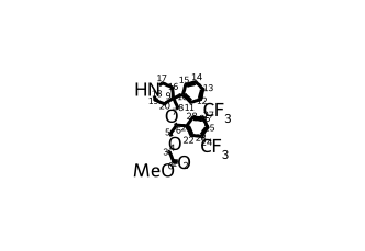 COC(=O)COCC(OCC1(c2ccccc2)CCNCC1)c1cc(C(F)(F)F)cc(C(F)(F)F)c1